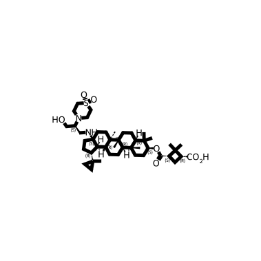 CC1([C@@H]2CC[C@]3(NC[C@@H](CO)N4CCS(=O)(=O)CC4)CC[C@]4(C)[C@H](CC[C@@H]5[C@@]6(C)CC[C@H](OC(=O)[C@H]7C[C@@H](C(=O)O)C7(C)C)C(C)(C)[C@@H]6CC[C@]54C)[C@@H]23)CC1